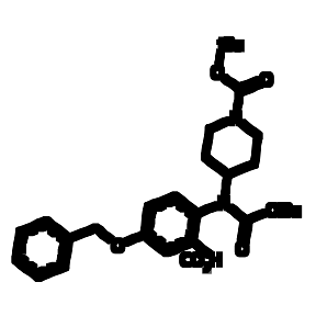 CC(C)COC(=O)N(c1ccc(OCc2ccccc2)cc1C(=O)O)C1CCN(C(=O)OC(C)(C)C)CC1